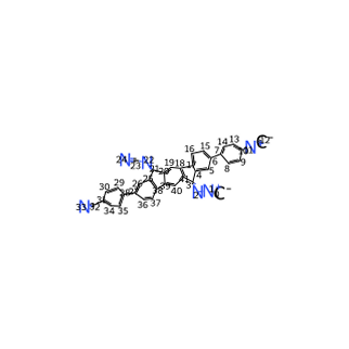 [C-]#[N+]/N=c1\c2cc(-c3ccc([N+]#[C-])cc3)ccc2c2cc3/c(=N/C#N)c4cc(-c5ccc(C#N)cc5)ccc4c3cc12